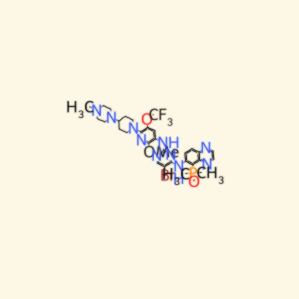 COc1nc(N2CCC(N3CCN(C)CC3)CC2)c(OC(F)(F)F)cc1Nc1ncc(Br)c(Nc2ccc3nccnc3c2P(C)(C)=O)n1